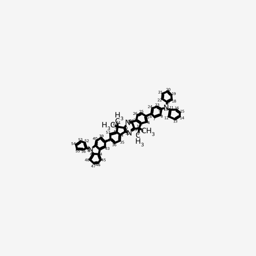 CC1(C)c2cc(-c3ccc(N(c4ccccc4)c4ccccc4)cc3)ccc2-c2nc3c(nc21)-c1ccc(-c2ccc4c(c2)c2ccccc2n4-c2ccccc2)cc1C3(C)C